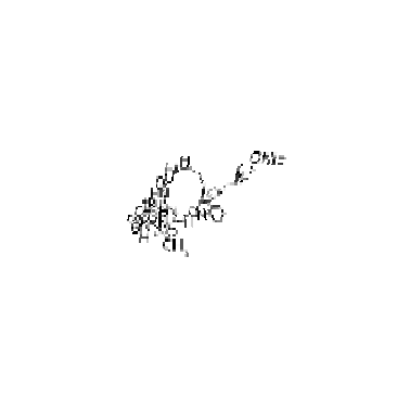 C=C[C@@H]1CC1(NC(=O)[C@@H]1C[C@@H]2CN1C(=O)[C@H](C(C)(C)C)NC(=O)O[C@@H]1C[C@H]1CCCCCc1c(nc3ccccc3c1OCCCN1CCC(OC)CC1)O2)C(=O)NS(=O)(=O)C1(C)CC1